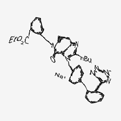 CCCCc1nc2ccn(Cc3ccccc3C(=O)OCC)c(=O)c2n1Cc1ccc(-c2ccccc2-c2nn[n-]n2)cc1.[Na+]